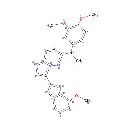 COc1ccc(N(C)c2ccc3ncc(-c4cc5cncc(OC)c5s4)n3n2)cc1OC